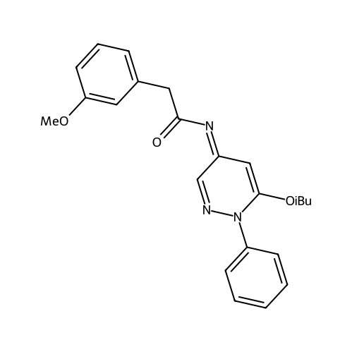 COc1cccc(CC(=O)/N=c2\cnn(-c3ccccc3)c(OCC(C)C)c2)c1